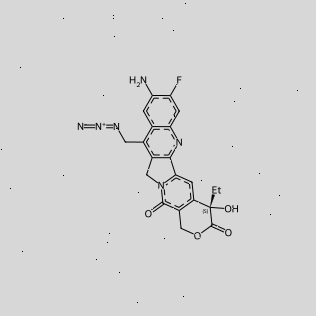 CC[C@@]1(O)C(=O)OCc2c1cc1n(c2=O)Cc2c-1nc1cc(F)c(N)cc1c2CN=[N+]=[N-]